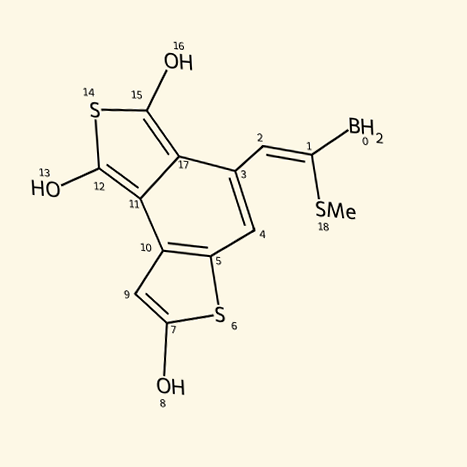 B/C(=C/c1cc2sc(O)cc2c2c(O)sc(O)c12)SC